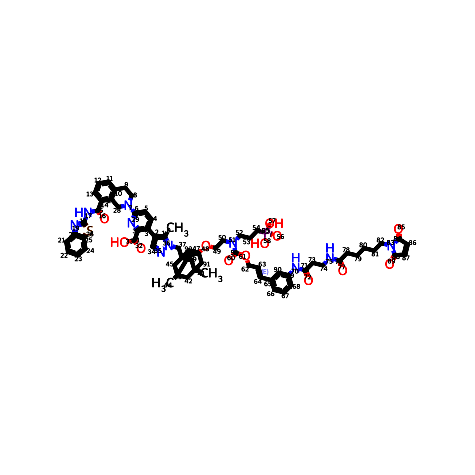 Cc1c(-c2ccc(N3CCc4cccc(C(=O)Nc5nc6ccccc6s5)c4C3)nc2C(=O)O)cnn1CC12CC3(C)CC(C)(C1)CC(OCCN(CCCP(=O)(O)O)C(=O)OC/C=C/c1cc[c]c(NC(=O)CCNC(=O)CCCCCN4C(=O)C=CC4=O)c1)(C3)C2